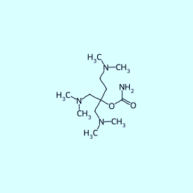 CN(C)CCC(CN(C)C)(CN(C)C)OC(N)=O